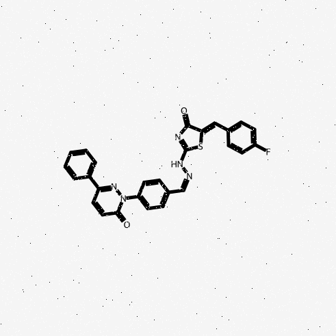 O=C1N=C(N/N=C\c2ccc(-n3nc(-c4ccccc4)ccc3=O)cc2)S/C1=C\c1ccc(F)cc1